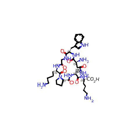 CC[C@H](C)[C@H](NC(=O)[C@@H]1CCCN1C(=O)[C@H](CCCCN)NC(=O)CNC(=O)[C@H](Cc1c[nH]c2ccccc12)NC(=O)[C@@H](N)CC(N)=O)C(=O)N[C@@H](CCCCN)C(=O)O